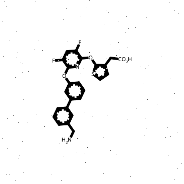 NCc1cccc(-c2cccc(Oc3nc(Oc4sccc4CC(=O)O)c(F)cc3F)c2)c1